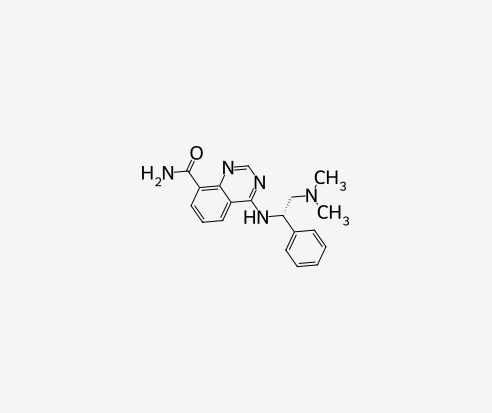 CN(C)C[C@@H](Nc1ncnc2c(C(N)=O)cccc12)c1ccccc1